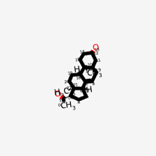 CC(=O)[C@H]1CC[C@H]2C3=CCC4CC(=O)CC[C@]4(C)[C@H]3CC[C@]12C